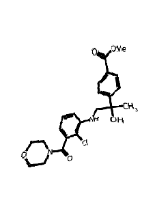 COC(=O)c1ccc(C(C)(O)CNc2cccc(C(=O)N3CCOCC3)c2Cl)cc1